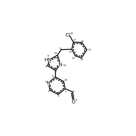 O=Cc1ccnc(-c2c[nH]c(Cc3ccccc3Cl)n2)c1